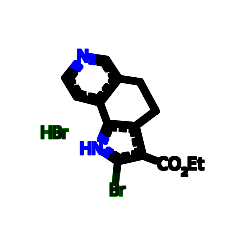 Br.CCOC(=O)c1c(Br)[nH]c2c1CCc1cnccc1-2